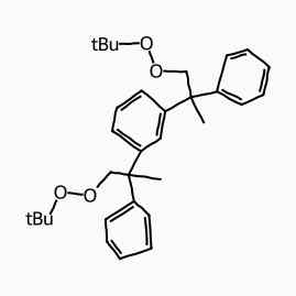 CC(C)(C)OOCC(C)(c1ccccc1)c1cccc(C(C)(COOC(C)(C)C)c2ccccc2)c1